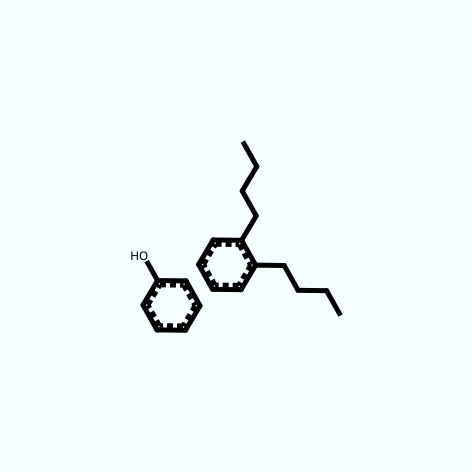 CCCCc1ccccc1CCCC.Oc1ccccc1